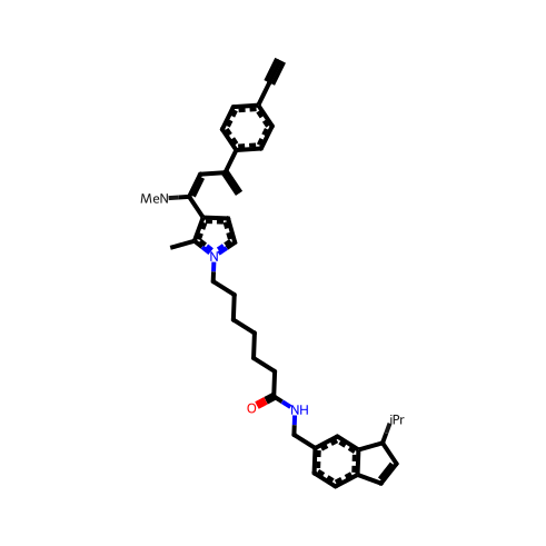 C#Cc1ccc(C(=C)/C=C(/NC)c2ccn(CCCCCCC(=O)NCc3ccc4c(c3)C(C(C)C)C=C4)c2C)cc1